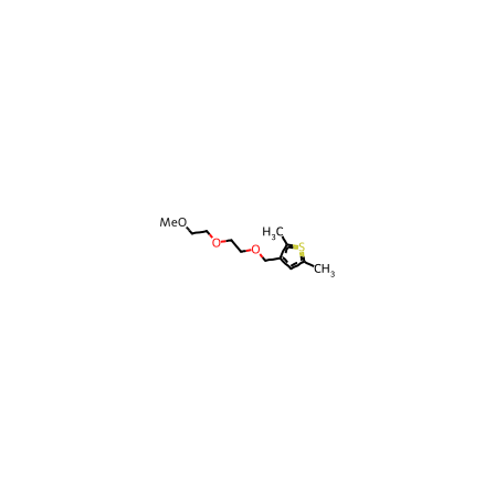 COCCOCCOCc1cc(C)sc1C